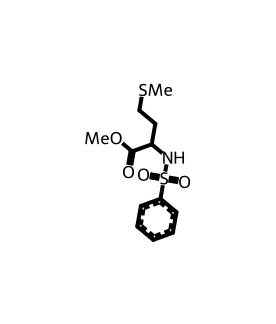 COC(=O)C(CCSC)NS(=O)(=O)c1ccccc1